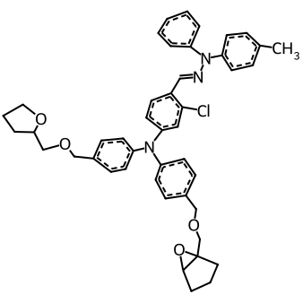 Cc1ccc(N(N=Cc2ccc(N(c3ccc(COCC4CCCO4)cc3)c3ccc(COCC45CCCC4O5)cc3)cc2Cl)c2ccccc2)cc1